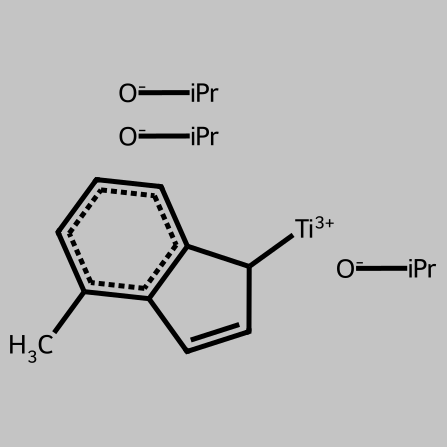 CC(C)[O-].CC(C)[O-].CC(C)[O-].Cc1cccc2c1C=C[CH]2[Ti+3]